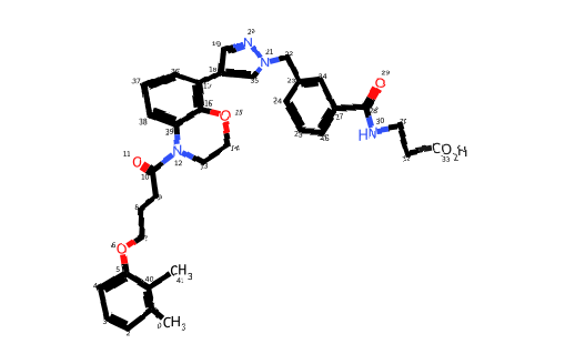 Cc1cccc(OCCCC(=O)N2CCOc3c(-c4cnn(Cc5cccc(C(=O)NCCC(=O)O)c5)c4)cccc32)c1C